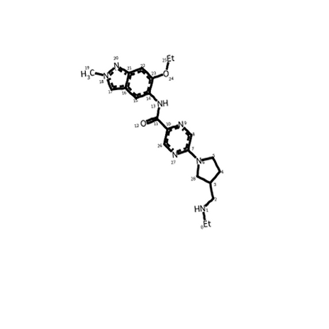 CCNCC1CCN(c2cnc(C(=O)Nc3cc4cn(C)nc4cc3OCC)cn2)C1